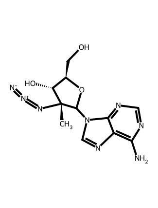 C[C@]1(N=[N+]=[N-])C(n2cnc3c(N)ncnc32)O[C@H](CO)[C@H]1O